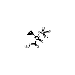 CC[Si](CC)(CC)O[C@@H]1C(=O)N(C(=O)OC(C)(C)C)[C@@H]1C1CC1